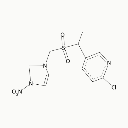 CC(c1ccc(Cl)nc1)S(=O)(=O)CN1C=CN([N+](=O)[O-])C1